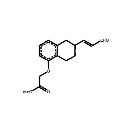 COC(=O)COc1cccc2c1CCC(/C=C/C=O)C2